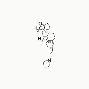 C[C@]12CC[C@H](CCCN3CCCCC3)C=C1CCC1C2CC[C@]2(C)C(=O)CCC12